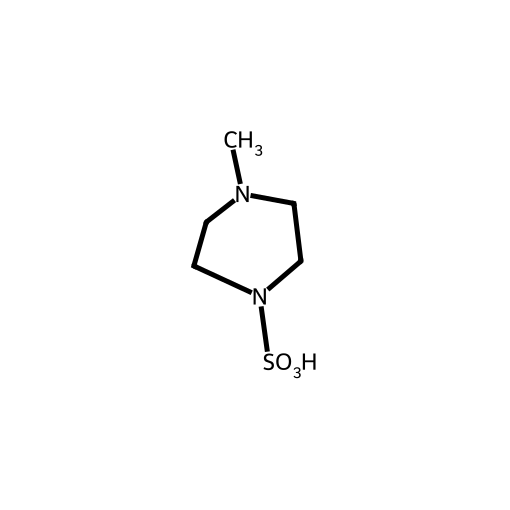 CN1CCN(S(=O)(=O)O)CC1